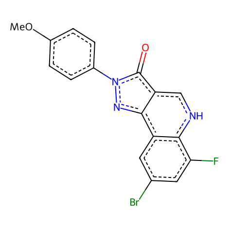 COc1ccc(-n2nc3c4cc(Br)cc(F)c4[nH]cc-3c2=O)cc1